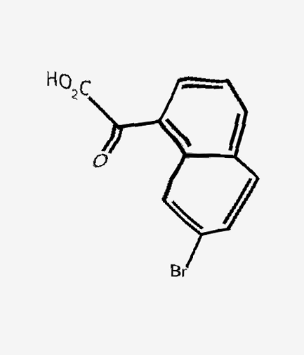 O=C(O)C(=O)c1cccc2ccc(Br)cc12